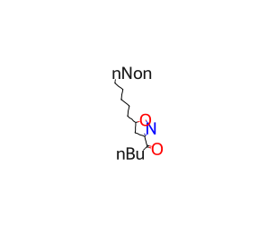 CCCCCCCCCCCCCCC1CC(C(=O)CCCC)=NO1